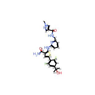 Cn1cc(C(=O)NCc2cccc(Nc3sc(-c4c(F)cc(C(C)(C)O)cc4F)cc3C(N)=O)n2)cn1